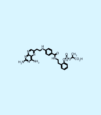 CC(O[PH](=O)Oc1ccccc1CCNC(=O)c1ccc(NCCc2cnc3nc(N)nc(N)c3n2)cc1)C(=O)O